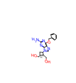 Nc1nc(OCc2ccccc2)c2ncn(C3C[C@H](CO)[C@@H]3CO)c2n1